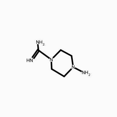 N=C(N)N1CCN(N)CC1